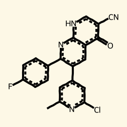 Cc1cc(-c2cc3c(=O)c(C#N)c[nH]c3nc2-c2ccc(F)cc2)cc(Cl)n1